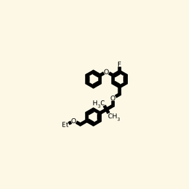 CCOCc1ccc(C(C)(C)COCc2ccc(F)c(Oc3ccccc3)c2)cc1